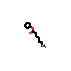 CC=CCCCC(=O)OC1CCCC1